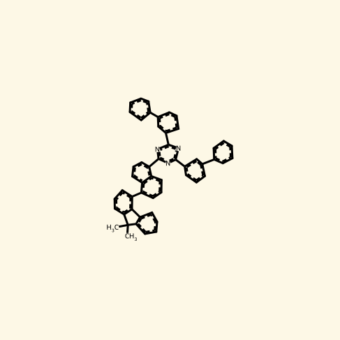 CC1(C)c2ccccc2-c2c(-c3cccc4c(-c5nc(-c6cccc(-c7ccccc7)c6)nc(-c6cccc(-c7ccccc7)c6)n5)cccc34)cccc21